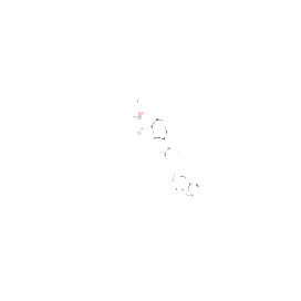 C/C(=N\OCc1ccc(Cl)c(Cl)c1)c1cccc(CC(OC(C)C)C(=O)O)c1